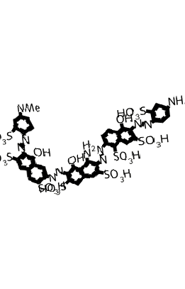 CNc1ccc(N=Nc2c(S(=O)(=O)O)cc3cc(S(=O)(=O)O)c(N=Nc4c(S(=O)(=O)O)cc5cc(S(=O)(=O)O)c(N=Nc6ccc7c(O)c(N=Nc8ccc(NC(C)=O)cc8S(=O)(=O)O)c(S(=O)(=O)O)cc7c6S(=O)(=O)O)c(N)c5c4O)cc3c2O)c(S(=O)(=O)O)c1